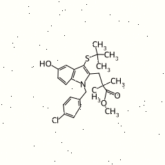 COC(=O)C(C)(C)Cc1c(SC(C)(C)C)c2cc(O)ccc2n1Cc1ccc(Cl)cc1